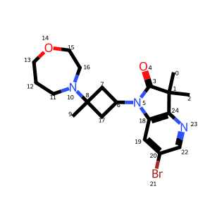 CC1(C)C(=O)N(C2CC(C)(N3CCCOCC3)C2)c2cc(Br)cnc21